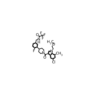 COCCn1cc(C(=O)N2CCC(c3cc(CNC(=O)C(F)(F)F)ccc3F)CC2)c2cc(Cl)cc(C)c21